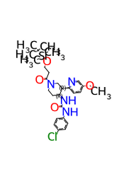 COc1ccc([C@@H]2CN(C(=O)CCO[Si](C)(C)C(C)(C)C)CC[C@H]2NC(=O)Nc2ccc(Cl)cc2)nc1